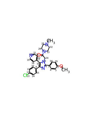 COc1ccc(-c2nc(-c3ccc(Cl)cc3)c(-c3ccncc3)n2CC(=O)N2CCN(C)CC2)cc1